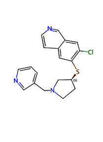 Clc1cc2cnccc2cc1S[C@H]1CCN(Cc2cccnc2)C1